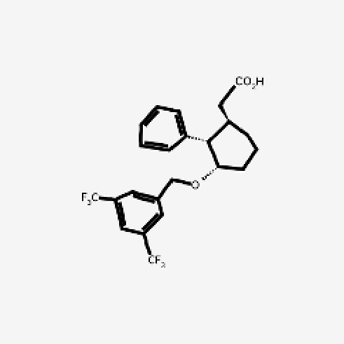 O=C(O)C[C@H]1CCC[C@H](OCc2cc(C(F)(F)F)cc(C(F)(F)F)c2)[C@@H]1c1ccccc1